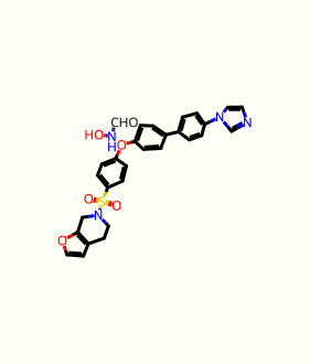 O=CNO.O=S(=O)(c1ccc(Oc2ccc(-c3ccc(-n4ccnc4)cc3)cc2)cc1)N1CCc2ccoc2C1